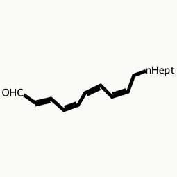 CCCCCCCC\C=C/C=C\C=C/C=C/C=O